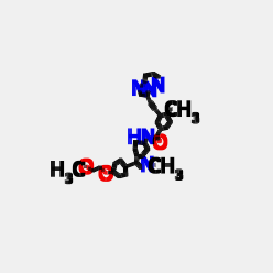 COCCOc1ccc(-c2cn(C)c3cc(NC(=O)c4ccc(C)c(C#Cc5cnc6cccnn56)c4)ccc23)cc1